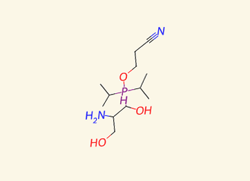 CC(C)[PH](OCCC#N)(C(C)C)C(O)C(N)CO